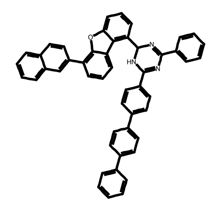 c1ccc(C2=NC(c3cccc4oc5c(-c6ccc7ccccc7c6)cccc5c34)NC(c3ccc(-c4ccc(-c5ccccc5)cc4)cc3)=N2)cc1